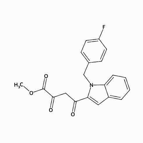 COC(=O)C(=O)CC(=O)c1cc2ccccc2n1Cc1ccc(F)cc1